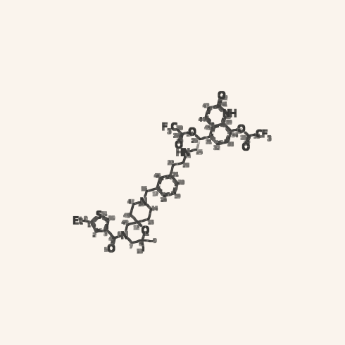 CCc1cc(C(=O)N2CC(C)(C)OC3(CCN(Cc4cccc(CCNC[C@H](OC(=O)C(F)(F)F)c5ccc(OC(=O)C(F)(F)F)c6[nH]c(=O)ccc56)c4)CC3)C2)cs1